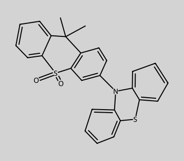 CC1(C)c2ccccc2S(=O)(=O)c2cc(N3c4ccccc4Sc4ccccc43)ccc21